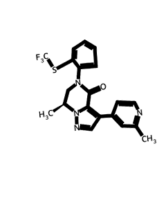 Cc1cc(-c2cnn3c2C(=O)N(c2ccccc2SC(F)(F)F)C[C@@H]3C)ccn1